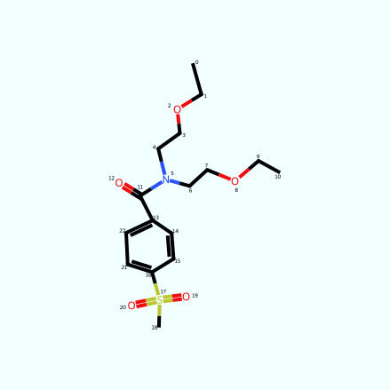 CCOCCN(CCOCC)C(=O)c1ccc(S(C)(=O)=O)cc1